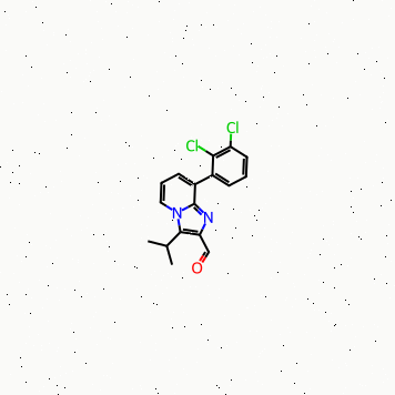 CC(C)c1c(C=O)nc2c(-c3cccc(Cl)c3Cl)cccn12